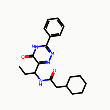 CCC(NC(=O)CC1CCCCC1)c1nnc(-c2ccccc2)[nH]c1=O